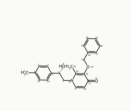 Cc1ccc([C@H](O)Cn2ccc(=O)c(OCc3ccccc3)c2C)cc1